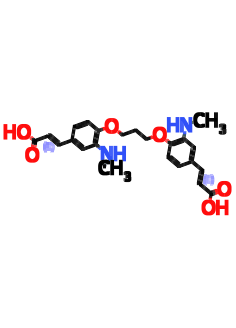 CNc1cc(/C=C/C(=O)O)ccc1OCCCOc1ccc(/C=C/C(=O)O)cc1NC